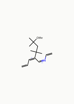 C=C/C=C(\C=N/C=C)C(C)(C)CC(C)(C)OC